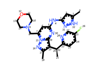 Cc1cc(Nc2cc(CN3CCOCC3)n3nc(C)c([C@H](C)c4ccc(F)cn4)c3n2)n[nH]1